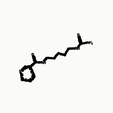 NC(=O)NCCCCCNC(=O)c1cccnc1